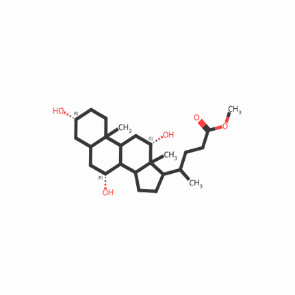 COC(=O)CCC(C)C1CCC2C3C(C[C@H](O)C12C)C1(C)CC[C@@H](O)CC1C[C@H]3O